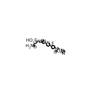 NC(=O)CC[C@H](NC[C@@H]1CC(c2ccc(-c3ccc(N4C[C@H](Cn5ccnn5)OC4=O)cc3F)cn2)=NO1)C(=O)O